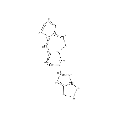 O=C(NC1CN=c2ccccc2=NC1=O)c1cc2n(n1)CCC2